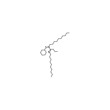 CCCCCCCCCCN=C(CCC)N(CCCCCCCCCC)SC1CCCCC1